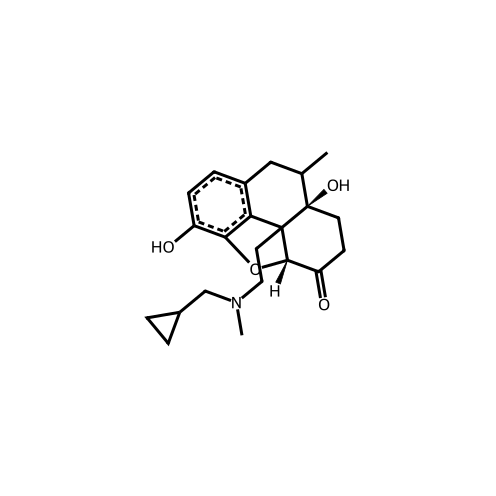 CC1Cc2ccc(O)c3c2C2(CCN(C)CC4CC4)[C@@H](O3)C(=O)CC[C@@]12O